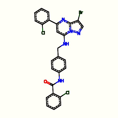 O=C(Nc1ccc(CNc2cc(-c3ccccc3Cl)nc3c(Br)cnn23)cc1)c1ccccc1Cl